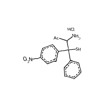 CC(=O)C(N)C(S)(c1ccccc1)c1ccc([N+](=O)[O-])cc1.Cl